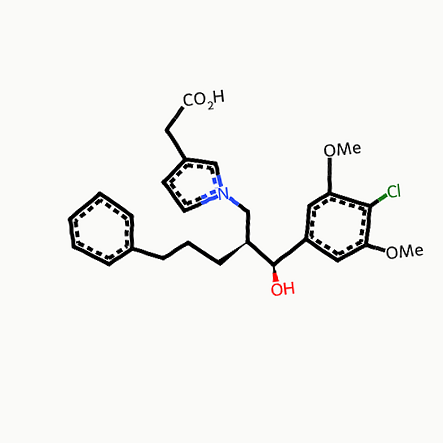 COc1cc([C@@H](O)[C@@H](CCCc2ccccc2)Cn2ccc(CC(=O)O)c2)cc(OC)c1Cl